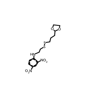 O=[N+]([O-])c1ccc(NCCSSCCCC2OCCO2)c([N+](=O)[O-])c1